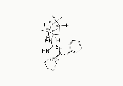 C[C@@H]1[C@H]2C[C@@H](C[C@H]1NC(=S)N[C@H]1CCCC[C@@H]1NCc1ccccc1)C2(C)C